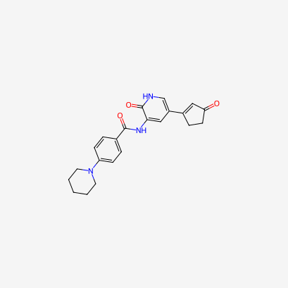 O=C1C=C(c2c[nH]c(=O)c(NC(=O)c3ccc(N4CCCCC4)cc3)c2)CC1